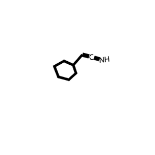 N=C=CC1CCCCC1